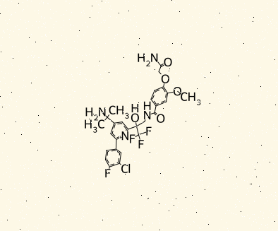 COc1cc(C(=O)NCC(O)(c2cc(C(C)(C)N)cc(-c3ccc(F)c(Cl)c3)n2)C(F)(F)F)ccc1OCC(N)=O